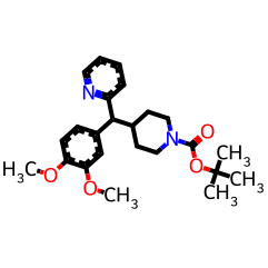 COc1ccc(C(c2ccccn2)C2CCN(C(=O)OC(C)(C)C)CC2)cc1OC